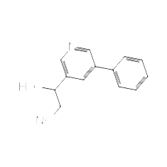 CC(CC#N)c1cncc(-c2ccccc2)c1